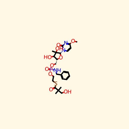 COc1ccn([C@@H]2O[C@H](COP(=O)(NCc3ccccc3)OCCSC(=O)C(C)(C)CO)C(O)C2(C)O)c(=O)n1